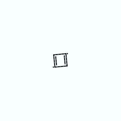 [C]1=C[C]=C1